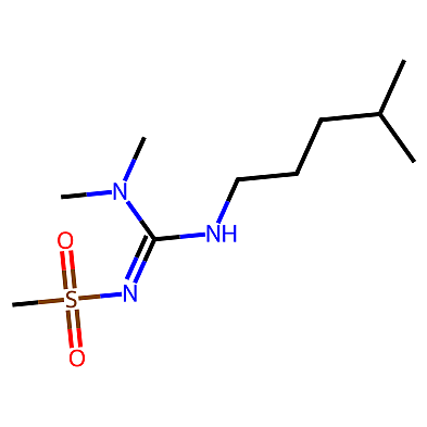 CC(C)CCCN/C(=N/S(C)(=O)=O)N(C)C